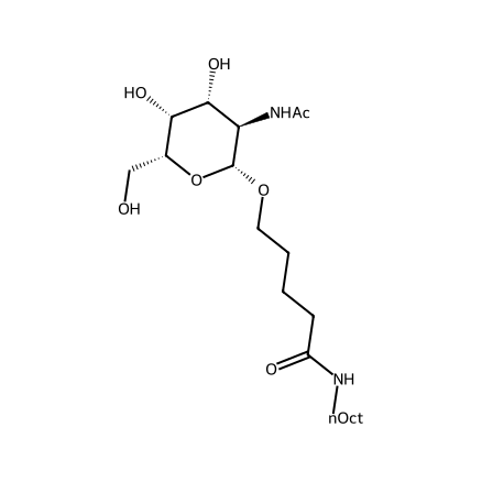 CCCCCCCCNC(=O)CCCCO[C@@H]1O[C@H](CO)[C@H](O)[C@H](O)[C@H]1NC(C)=O